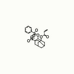 C=CC(=O)OC12CC3CC(C1)CC([N+](=O)[O-])(C3)C2OS(=O)(=O)c1ccccc1